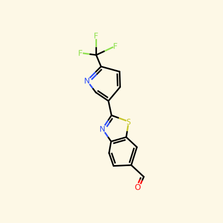 O=Cc1ccc2nc(-c3ccc(C(F)(F)F)nc3)sc2c1